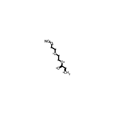 C=CC(=O)OCCOCCOC#N